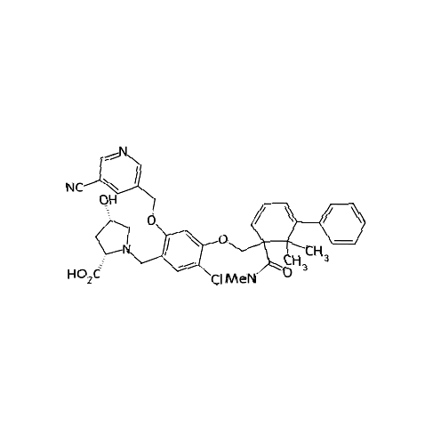 CNC(=O)C1(COc2cc(OCc3cncc(C#N)c3)c(CN3C[C@@H](O)C[C@H]3C(=O)O)cc2Cl)C=CC=C(c2ccccc2)C1(C)C